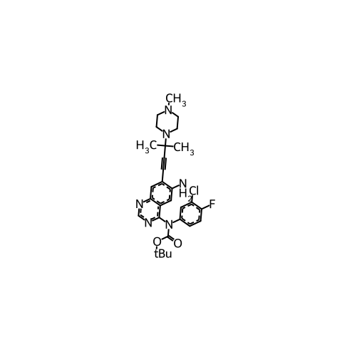 CN1CCN(C(C)(C)C#Cc2cc3ncnc(N(C(=O)OC(C)(C)C)c4ccc(F)c(Cl)c4)c3cc2N)CC1